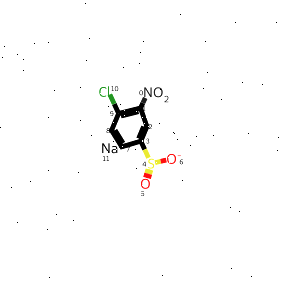 O=[N+]([O-])c1cc(S(=O)[O-])ccc1Cl.[Na+]